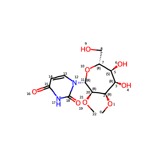 CO[C@@H]1[C@H](O)[C@H](O)[C@@H](CO)O[C@@H](n2ccc(=O)[nH]c2=O)[C@@H]1OC